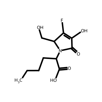 CCCCC(C(=O)O)N1C(=O)C(O)=C(F)C1CO